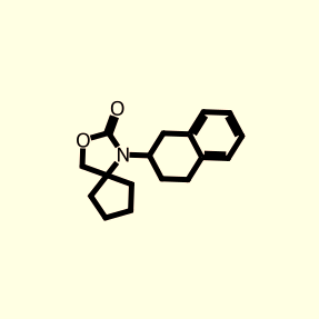 O=C1OCC2(CCCC2)N1C1CCc2ccccc2C1